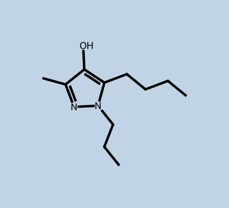 CCCCc1c(O)c(C)nn1CCC